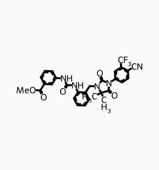 COC(=O)c1cccc(NC(=O)Nc2ccccc2CN2C(=O)N(c3ccc(C#N)c(C(F)(F)F)c3)C(=O)C2(C)C)c1